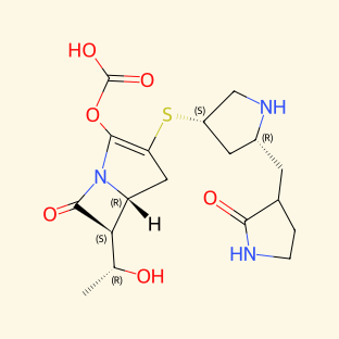 C[C@@H](O)[C@H]1C(=O)N2C(OC(=O)O)=C(S[C@@H]3CN[C@H](CC4CCNC4=O)C3)C[C@H]12